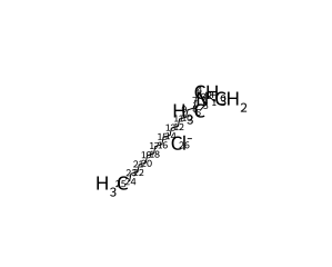 C=CC[N+](C)(CC)CCCCCCCCCCCCCCCCCCC.[Cl-]